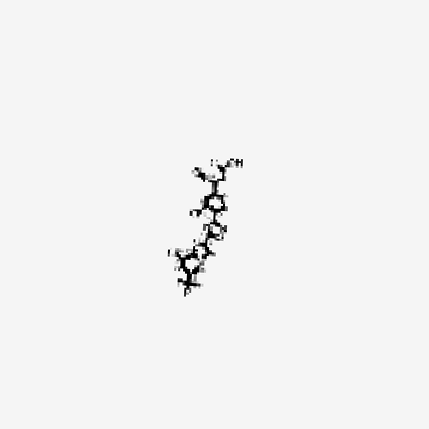 [C-]#[N+]C(CC(=O)O)c1ccc(-c2noc(-c3cn4cc(C(F)(F)F)cc(Cl)c4n3)n2)c(Cl)c1